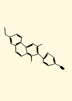 CCc1ccc2c(ccc3c(F)c(-c4ccc(C#N)cc4)c(F)cc32)c1